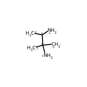 [CH2]C(C)(N)C(C)N